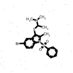 Cc1c(SC(C)N(C)C)c2cc(Br)ccc2n1S(=O)(=O)c1ccccc1